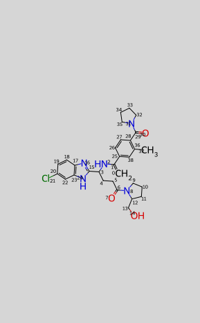 C=C(NC(CCC(=O)N1CCCC1CO)c1nc2ccc(Cl)cc2[nH]1)c1ccc(C(=O)N2CCCC2)c(C)c1